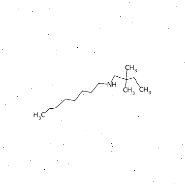 CCCCCCCCNCC(C)(C)CC